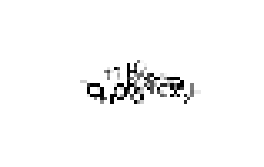 CC(C)(C)OC(=O)N1CC(Cc2ccccc2)N(C(=O)O)CC1C(=O)Nc1ccc(Oc2ccc(F)cc2)cc1